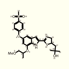 COCC(C)Oc1cc(Oc2ccc(S(C)(=O)=O)cc2)cc2cc(C3=NCC(CC(C)(C)O)S3)[nH]c12